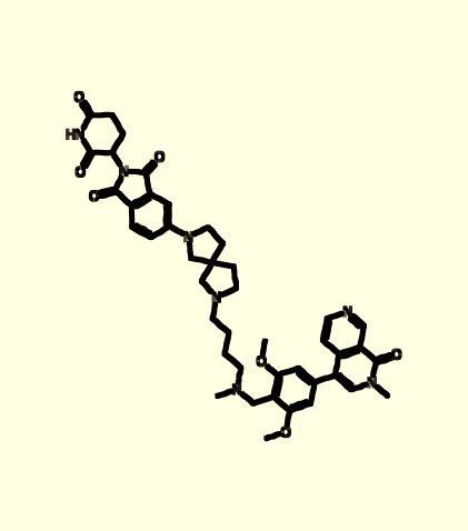 COc1cc(-c2cn(C)c(=O)c3cnccc23)cc(OC)c1CN(C)CCCCN1CCC2(CCN(c3ccc4c(c3)C(=O)N(C3CCC(=O)NC3=O)C4=O)C2)C1